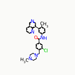 Cc1ccc(NC(=O)c2ccc(CN3CCN(C)CC3)c(Cl)c2)cc1-c1cncc2cccnc12